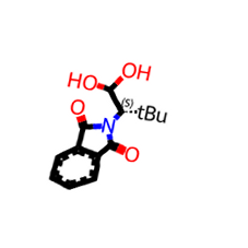 CC(C)(C)[C@@H](C(O)O)N1C(=O)c2ccccc2C1=O